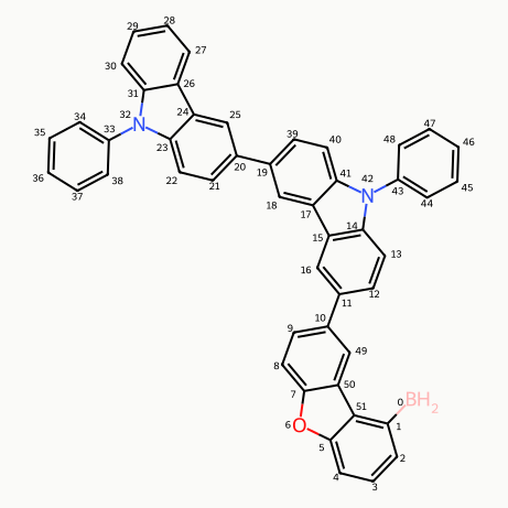 Bc1cccc2oc3ccc(-c4ccc5c(c4)c4cc(-c6ccc7c(c6)c6ccccc6n7-c6ccccc6)ccc4n5-c4ccccc4)cc3c12